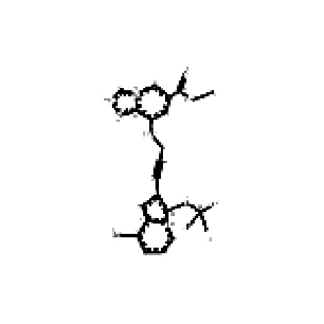 CNC(=O)c1cc(NCC#Cc2cc3c(Br)cccn3c2SC(F)(F)F)c2nncn2c1